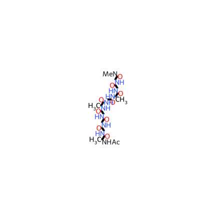 CNC(=O)CNC(=O)CNC(=O)C(C)NC(=O)CNC(=O)C(C)NC(=O)CNC(=O)CNC(=O)CNC(=O)C(C)NC(C)=O